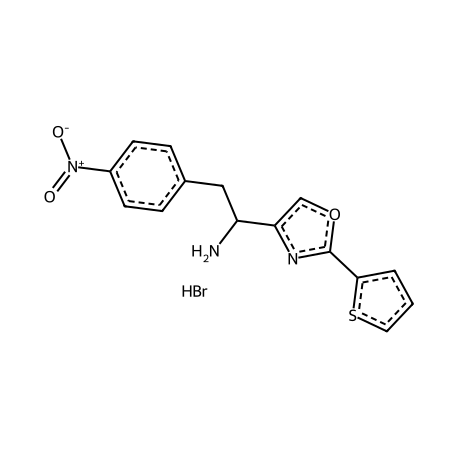 Br.NC(Cc1ccc([N+](=O)[O-])cc1)c1coc(-c2cccs2)n1